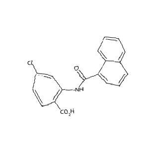 O=C(O)c1ccc(Cl)cc1NC(=O)c1cccc2ccccc12